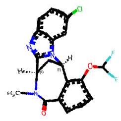 CN1C(=O)c2cccc(OC(F)F)c2[C@H]2C[C@@H]1c1nc3ccc(Cl)cc3n12